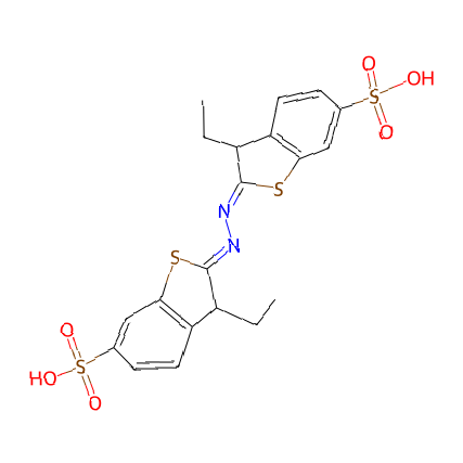 CCC1C(=NN=C2Sc3cc(S(=O)(=O)O)ccc3C2CC)Sc2cc(S(=O)(=O)O)ccc21